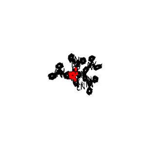 N#Cc1ccc(-n2c3ccc(-c4nc(-c5ccccc5)nc(-c5ccccc5)n4)cc3c3cc(-c4nc(-c5ccccc5)nc(-c5ccccc5)n4)ccc32)c(-c2cc(-n3c4ccc(-c5nc(-c6ccccc6)nc(-c6ccccc6)n5)cc4c4cc(-c5nc(-c6ccccc6)nc(-c6ccccc6)n5)ccc43)ccc2-c2c(C(F)(F)F)cccc2C(F)(F)F)c1